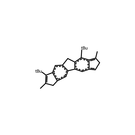 CC1=C(C(C)(C)C)c2cc3c(cc2C1)-c1cc2c(c(C(C)(C)C)c1C3)=C(C)CC=2